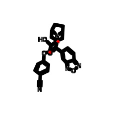 N#Cc1ccc(OCC(O)CN2C3CCC2CN(C(=O)c2ccc4nonc4c2)C3)cc1